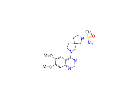 COc1cc2ncnc(N3CCC4(CCN(S(C)(=N)=O)C4)C3)c2cc1OC